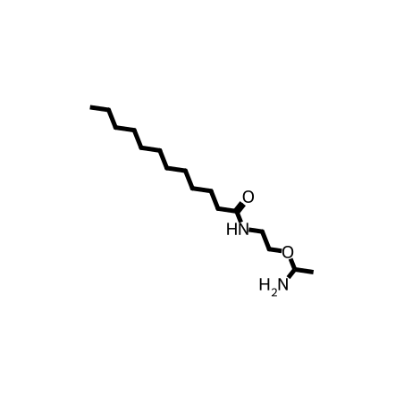 CCCCCCCCCCCC(=O)NCCOC(C)N